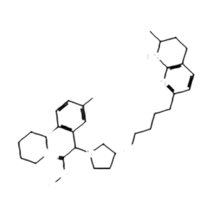 CC1CCc2ccc(CCCCO[C@@H]3CCN(C(C(=O)OC(C)(C)C)c4cc(F)ccc4[C@@H]4CCCCO4)C3)nc2N1